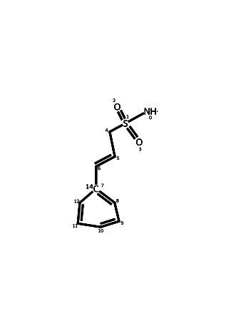 [NH]S(=O)(=O)CC=C[14c]1ccccc1